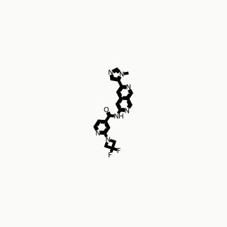 Cn1cncc1-c1cc2cc(NC(=O)c3ccnc(N4CC(F)(F)C4)c3)ncc2cn1